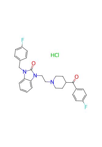 Cl.O=C(c1ccc(F)cc1)C1CCN(CCn2c(=O)n(Cc3ccc(F)cc3)c3ccccc32)CC1